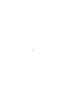 N#Cc1ccc(-c2ccc(OC(F)(F)F)c(CN[C@H]3CCN(C(=O)CN4C(=O)CCCC4=O)C[C@H]3c3ccccc3)c2)c(F)c1